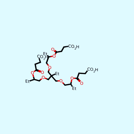 CCC(COCC(CC)(COCC(CC)OC(=O)CCC(=O)O)COCC(CC)OC(=O)CCC(=O)O)OC(=O)CCC(=O)O